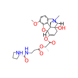 COc1ccc2c3c1O[C@H]1C(OC(=O)[C@H](C)OC(=O)CCNC(=O)[C@@H]4CCCN4)=CC[C@@]4(O)[C@@H](C2)N(C)CC[C@]314